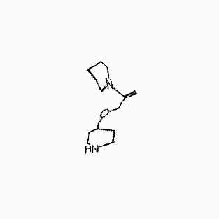 C=C(COC1CCNCC1)N1CCCC1